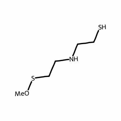 COSCCNCCS